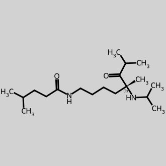 CC(C)CCC(=O)NCCCC[C@@](C)(NC(C)C)C(=O)C(C)C